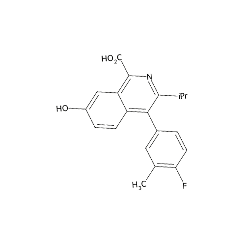 Cc1cc(-c2c(C(C)C)nc(C(=O)O)c3cc(O)ccc23)ccc1F